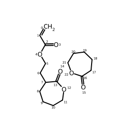 C=CC(=O)OCCC1CCCCOC1=O.O=C1CCCCCO1